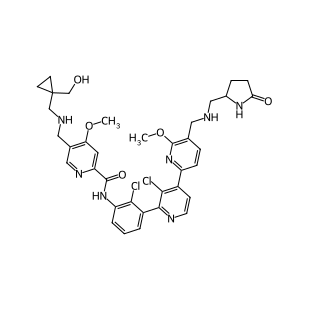 COc1cc(C(=O)Nc2cccc(-c3nccc(-c4ccc(CNCC5CCC(=O)N5)c(OC)n4)c3Cl)c2Cl)ncc1CNCC1(CO)CC1